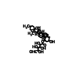 C[C@@H]1CC[C@@]2(OC1)O[C@H]1C[C@H]3[C@@H]4CC=C5C[C@@H](O)C[C@@H](OC(=O)[C@@H](O)[C@@H](O)[C@H](O)[C@@H](O)C=O)[C@]5(C)[C@H]4CC[C@]3(C)[C@H]1[C@@H]2C